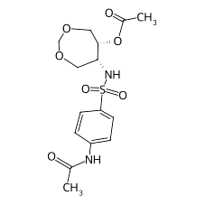 CC(=O)Nc1ccc(S(=O)(=O)N[C@@H]2COCOC[C@@H]2OC(C)=O)cc1